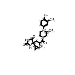 Cc1cc(N2CCN(C(=O)C(C)CC3(C4CC4)NC(=O)NC3=O)C[C@@H]2C)ccc1F